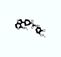 Cc1ccc(NC(=O)Nc2ccc(-c3csc4ccnc(N)c34)cc2)cc1Cl